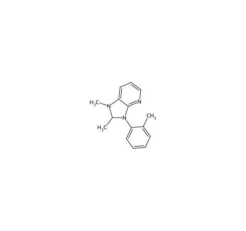 Cc1ccccc1N1c2ncccc2N(C)C1C